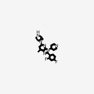 Cc1cc(N2CC3CC2CN3)nc2c1nc(-c1ccc(F)cc1F)n2-c1ccncc1